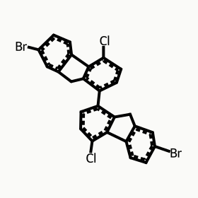 Clc1ccc(-c2ccc(Cl)c3c2Cc2cc(Br)ccc2-3)c2c1-c1ccc(Br)cc1C2